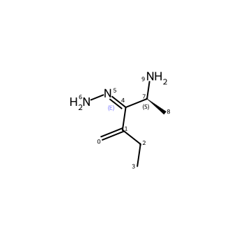 C=C(CC)/C(=N\N)[C@H](C)N